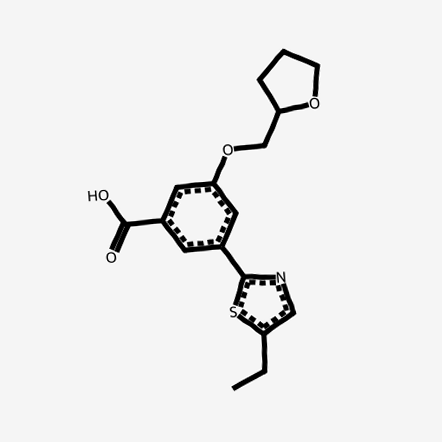 CCc1cnc(-c2cc(OCC3CCCO3)cc(C(=O)O)c2)s1